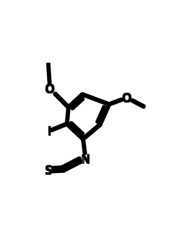 COc1cc(N=C=S)c(I)c(OC)c1